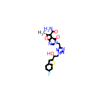 Cc1oc2ncn(Cc3nnn(C[C@H](O)c4cc5ccc(F)cc5s4)n3)c(=O)c2c1C(N)=O